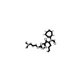 CCCCC(C(=O)c1nnc(SCCCN(C)C)o1)N(C=O)C1CCCCCC1